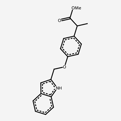 COC(=O)C(C)c1ccc(OCc2cc3ccccc3[nH]2)cc1